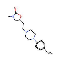 COc1ccc(N2CCN(CCC3CN(C)C(=O)O3)CC2)cc1